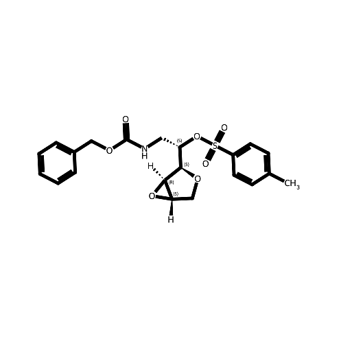 Cc1ccc(S(=O)(=O)O[C@@H](CNC(=O)OCc2ccccc2)[C@H]2OC[C@@H]3O[C@@H]23)cc1